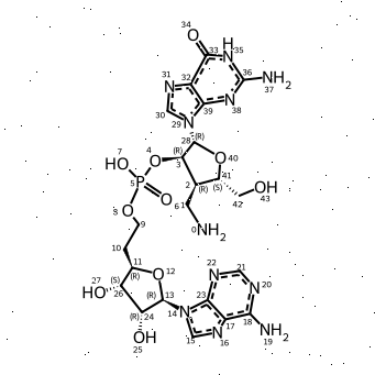 NC[C@H]1[C@@H](OP(=O)(O)OCC[C@H]2O[C@@H](n3cnc4c(N)ncnc43)[C@H](O)[C@@H]2O)[C@H](n2cnc3c(=O)[nH]c(N)nc32)O[C@@H]1CO